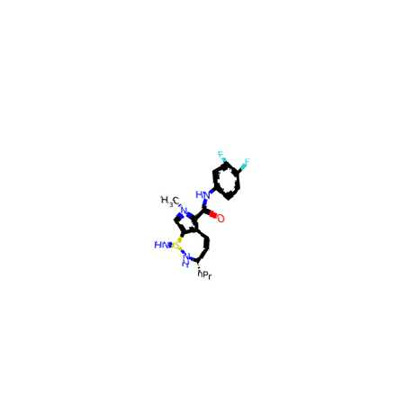 CCC[C@H]1C=Cc2c(cn(C)c2C(=O)Nc2ccc(F)c(F)c2)S(=N)N1